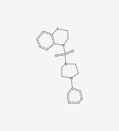 O=S(=O)(N1CCN(c2ccccc2)CC1)N1CCSc2ccccc21